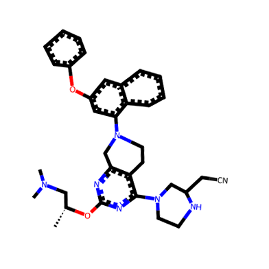 C[C@H](CN(C)C)Oc1nc2c(c(N3CCNC(CC#N)C3)n1)CCN(c1cc(Oc3ccccc3)cc3ccccc13)C2